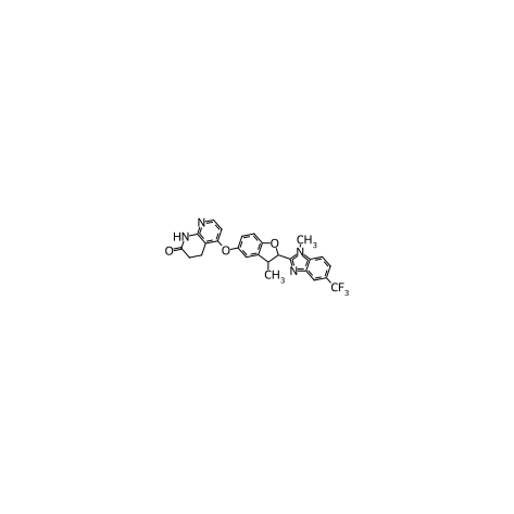 CC1c2cc(Oc3ccnc4c3CCC(=O)N4)ccc2OC1c1nc2cc(C(F)(F)F)ccc2n1C